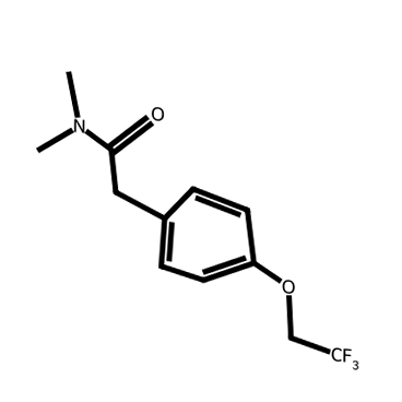 CN(C)C(=O)Cc1ccc(OCC(F)(F)F)cc1